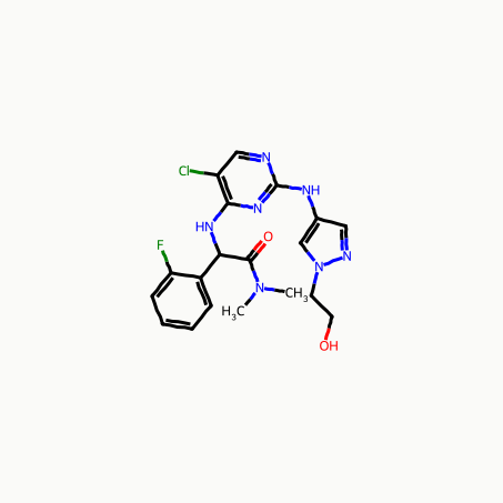 CN(C)C(=O)C(Nc1nc(Nc2cnn(CCO)c2)ncc1Cl)c1ccccc1F